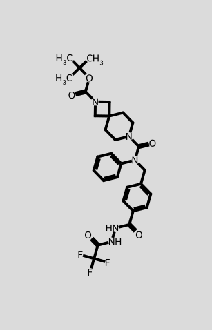 CC(C)(C)OC(=O)N1CC2(CCN(C(=O)N(Cc3ccc(C(=O)NNC(=O)C(F)(F)F)cc3)c3ccccc3)CC2)C1